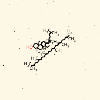 CC(C)=CCC/C(C)=C/CC/C(C)=C/CC/C=C(\C)CC/C=C(\C)CCC=C(C)C.CC(C)=CCC[C@@H](C)[C@H]1CC[C@H]2C3=C(CC[C@]12C)[C@@]1(C)CC[C@H](O)C[C@@H]1CC3